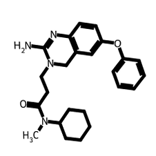 CN(C(=O)CCN1Cc2cc(Oc3ccccc3)ccc2N=C1N)C1CCCCC1